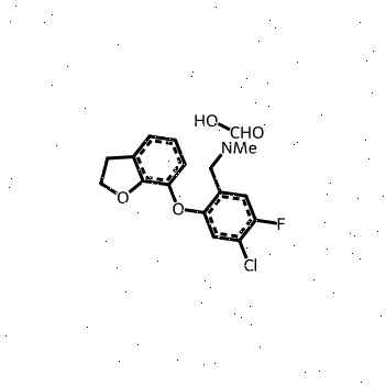 CNCc1cc(F)c(Cl)cc1Oc1cccc2c1OCC2.O=CO